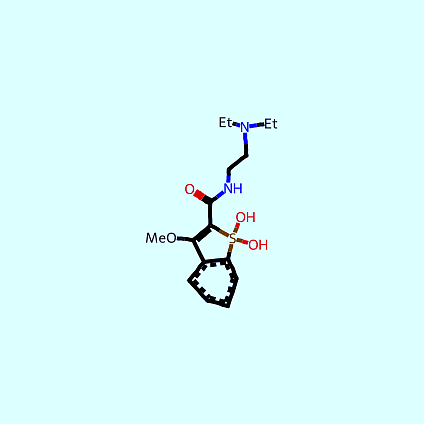 CCN(CC)CCNC(=O)C1=C(OC)c2ccccc2S1(O)O